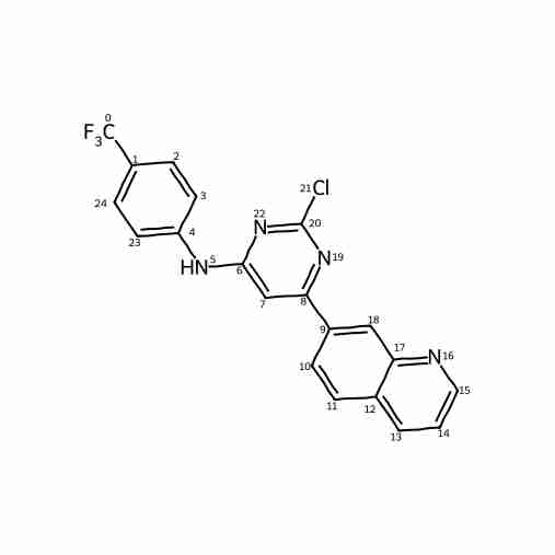 FC(F)(F)c1ccc(Nc2cc(-c3ccc4cccnc4c3)nc(Cl)n2)cc1